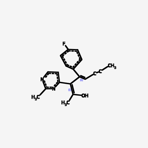 CCC/C=C(/C(=C(/C)O)c1ccnc(C)n1)c1ccc(F)cc1